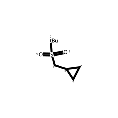 CC(C)(C)S(=O)(=O)CC1CC1